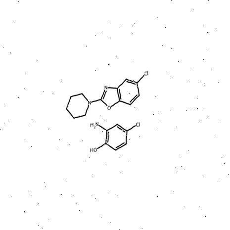 Clc1ccc2oc(N3CCCCC3)nc2c1.Nc1cc(Cl)ccc1O